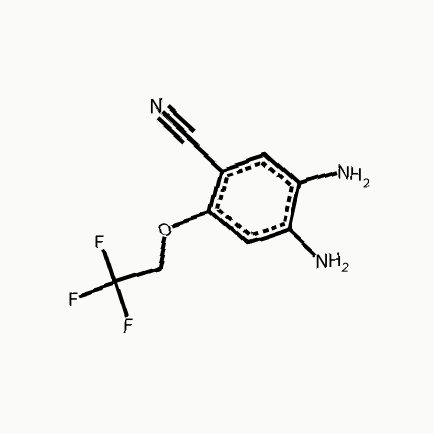 N#Cc1cc(N)c(N)cc1OCC(F)(F)F